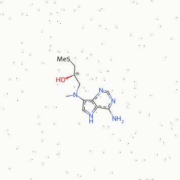 CSC[C@H](O)CN(C)c1c[nH]c2c(N)ncnc12